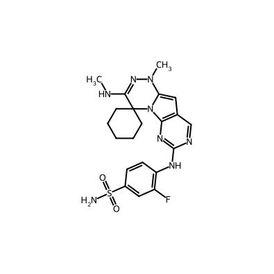 CNC1=NN(C)c2cc3cnc(Nc4ccc(S(N)(=O)=O)cc4F)nc3n2C12CCCCC2